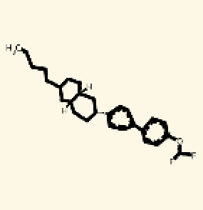 CCCCCC1CC[C@@H]2C[C@H](c3ccc(-c4ccc(OC(F)F)cc4)cc3)CC[C@@H]2C1